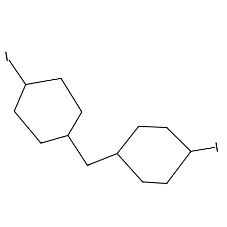 IC1CCC(CC2CCC(I)CC2)CC1